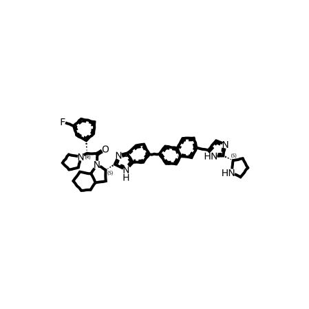 O=C([C@@H](c1cccc(F)c1)N1CCCC1)N1C2CCCCC2C[C@H]1c1nc2ccc(-c3ccc4cc(-c5cnc([C@@H]6CCCN6)[nH]5)ccc4c3)cc2[nH]1